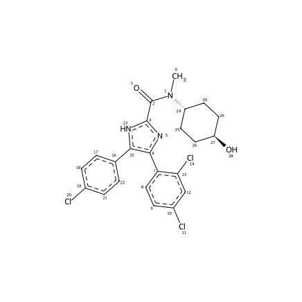 CN(C(=O)c1nc(-c2ccc(Cl)cc2Cl)c(-c2ccc(Cl)cc2)[nH]1)[C@H]1CC[C@H](O)CC1